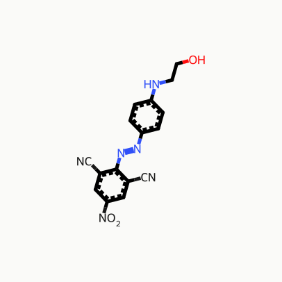 N#Cc1cc([N+](=O)[O-])cc(C#N)c1N=Nc1ccc(NCCO)cc1